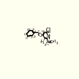 CN(C)c1cc(OCc2ccccc2)cc(Cl)n1